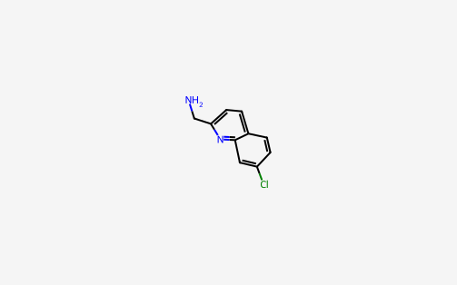 NCc1ccc2ccc(Cl)cc2n1